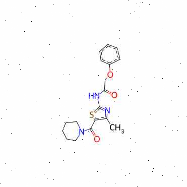 Cc1nc(NC(=O)COc2ccccc2)sc1C(=O)N1CCCCC1